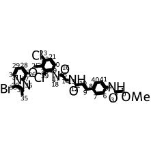 COCC(=O)Nc1ccc(C=CC(=O)NCC(=O)N(C)c2ccc(Cl)c(COc3cccn4c(Br)c(C)nc34)c2Cl)cc1